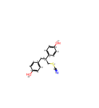 N#CSC[C@@H](Cc1ccc(O)cc1)c1ccc(O)cc1